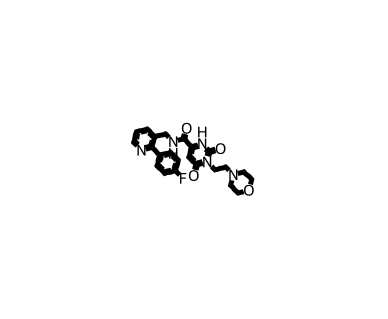 O=C(NCc1cccnc1-c1ccc(F)cc1)c1cc(=O)n(CCN2CCOCC2)c(=O)[nH]1